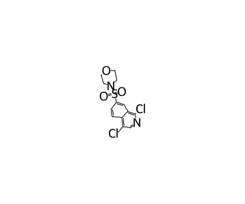 O=S(=O)(c1ccc2c(Cl)cnc(Cl)c2c1)N1CCOCC1